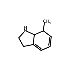 CC1C=CC=C2CCNC21